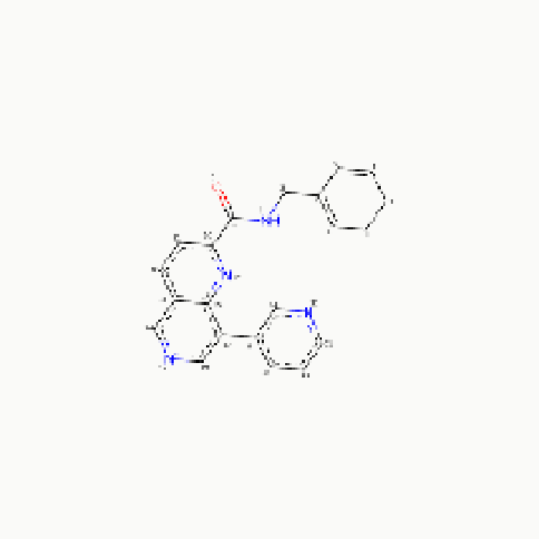 O=C(NCC1=CCCC=C1)c1ccc2cncc(-c3cccnc3)c2n1